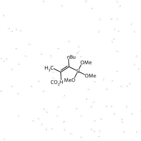 CCCCC(=C(C)C(=O)O)[Si](OC)(OC)OC